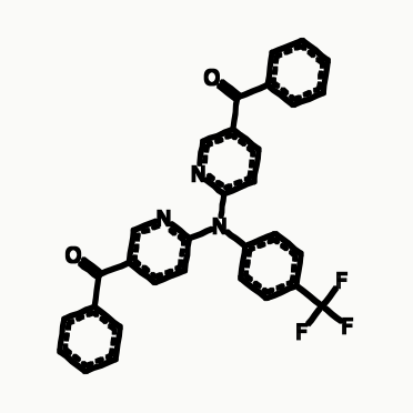 O=C(c1ccccc1)c1ccc(N(c2ccc(C(F)(F)F)cc2)c2ccc(C(=O)c3ccccc3)cn2)nc1